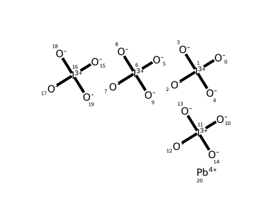 [O-][I+3]([O-])([O-])[O-].[O-][I+3]([O-])([O-])[O-].[O-][I+3]([O-])([O-])[O-].[O-][I+3]([O-])([O-])[O-].[Pb+4]